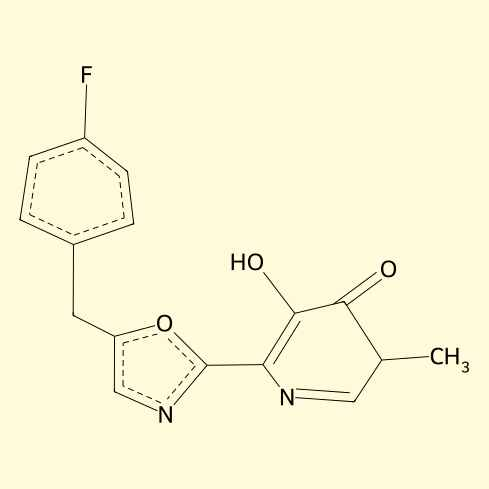 CC1C=NC(c2ncc(Cc3ccc(F)cc3)o2)=C(O)C1=O